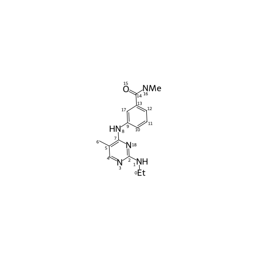 CCNc1ncc(C)c(Nc2cccc(C(=O)NC)c2)n1